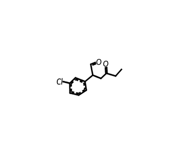 CCC(=O)CC(C=O)c1cccc(Cl)c1